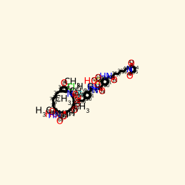 COc1cc2cc(c1Cl)N(C)C(=O)C[C@H](OC(=O)Cc1ccc(/C(C)=N/NC(=O)c3ccc(NC(=O)CCCCCN4C(=O)C=CC4=O)cc3S(=O)(=O)O)cc1F)[C@]1(C)O[C@H]1C[C@@H]1C[C@@](O)(NC(=O)O1)[C@H](OC)/C=C/C=C(\C)C2